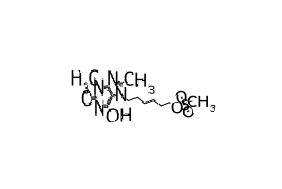 Cc1nc2c(c(O)nc(=O)n2C)n1CCCCCCOS(C)(=O)=O